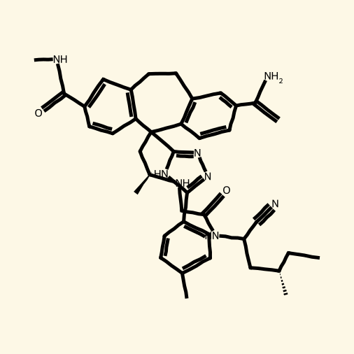 C=C(N)c1ccc2c(c1)CCc1cc(C(=O)NC)ccc1C2(C[C@H](C)NCC(=O)NC(C#N)C[C@@H](C)CC)c1nnc(-c2ccc(C)cc2)[nH]1